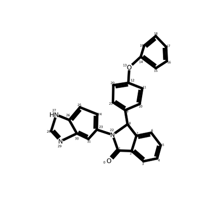 O=C1c2ccccc2C(c2ccc(Oc3ccccc3)cc2)N1c1ccc2[nH]cnc2c1